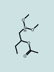 CCC(C[SiH](OC)OC)OC(C)=O